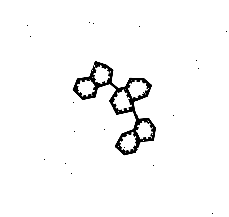 c1ccc2c(-c3ccc(-c4cccc5ccccc45)c4ccccc34)cccc2c1